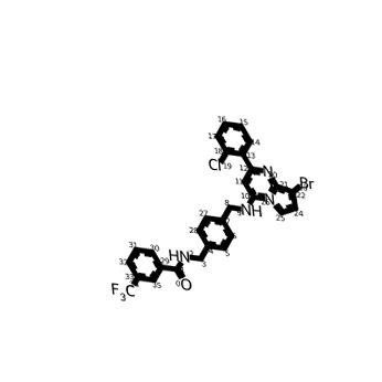 O=C(NCc1ccc(CNc2cc(-c3ccccc3Cl)nc3c(Br)ccn23)cc1)c1cccc(C(F)(F)F)c1